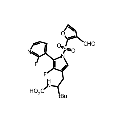 CC(C)(C)C(Cc1cn(S(=O)(=O)c2occc2C=O)c(-c2cccnc2F)c1F)NC(=O)O